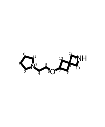 C1CCN(CCOC2CC3(CNC3)C2)C1